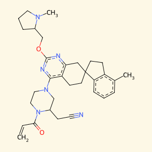 C=CC(=O)N1CCN(c2nc(OCC3CCCN3C)nc3c2CCC2(CCc4c(C)cccc42)C3)CC1CC#N